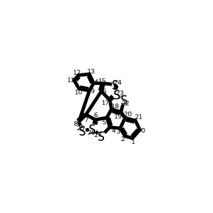 c1ccc2c3c4c5c6c(c7ccccc7c7c6c6c4c(c2c1)SS=6S7)SS=5S3